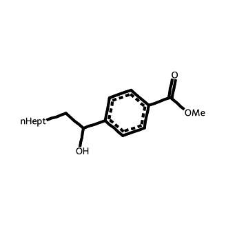 CCCCCCCCC(O)c1ccc(C(=O)OC)cc1